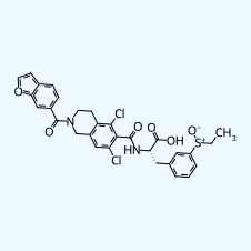 CC[S+]([O-])c1cccc(C[C@H](NC(=O)c2c(Cl)cc3c(c2Cl)CCN(C(=O)c2ccc4ccoc4c2)C3)C(=O)O)c1